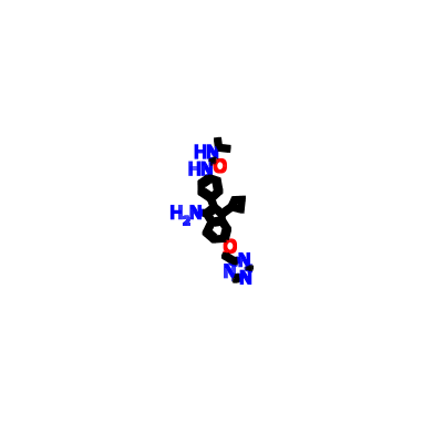 CC(C)NC(=O)Nc1ccc(C2=C(N)c3ccc(OCc4ncncn4)cc3C2C2CCC2)cc1